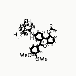 COc1ccc(C2Oc3cccc(OC(F)F)c3-c3ccc(NC(=O)N(S(C)(=O)=O)S(C)(=O)=O)cc32)cc1OC